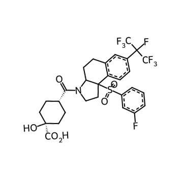 O=C([C@H]1CC[C@@](O)(C(=O)O)CC1)N1CCC2(S(=O)(=O)c3cccc(F)c3)c3ccc(C(F)(C(F)(F)F)C(F)(F)F)cc3CCC12